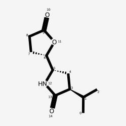 CC(C)[C@@H]1C[C@@H]([C@@H]2CCC(=O)O2)NC1=O